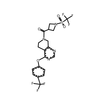 O=C(C1CN(S(=O)(=O)C(F)(F)F)C1)N1CCc2c(ncnc2Oc2ccc(C(F)(F)F)cc2)C1